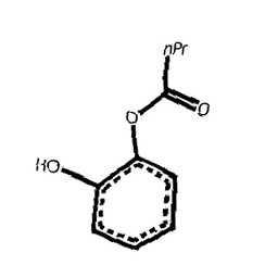 [CH2]CCC(=O)Oc1ccccc1O